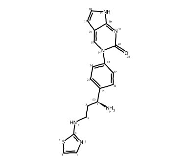 N[C@@H](CCNc1nccs1)c1ccc(-n2cc3cc[nH]c3nc2=O)cc1